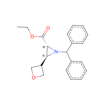 CCOC(=O)[C@H]1[C@H](C2COC2)N1C(c1ccccc1)c1ccccc1